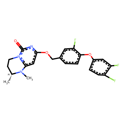 C[C@@H]1CCn2c(cc(OCc3ccc(Oc4ccc(F)c(F)c4)c(F)c3)nc2=O)N1C